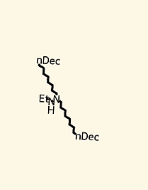 CCCCCCCCCCCCCCCCCCN(CCCCCCCCCCCCCCCCCC)NCC